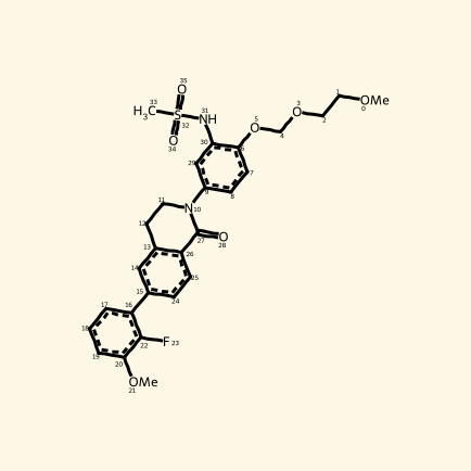 COCCOCOc1ccc(N2CCc3cc(-c4cccc(OC)c4F)ccc3C2=O)cc1NS(C)(=O)=O